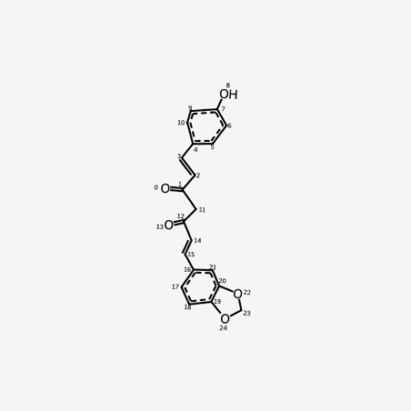 O=C(C=Cc1ccc(O)cc1)CC(=O)C=Cc1ccc2c(c1)OCO2